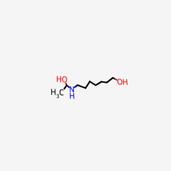 CC(O)NCCCCCCCO